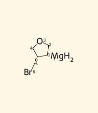 C1CCOC1.CBr.[MgH2]